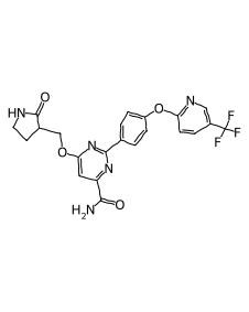 NC(=O)c1cc(OCC2CCNC2=O)nc(-c2ccc(Oc3ccc(C(F)(F)F)cn3)cc2)n1